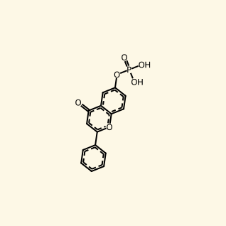 O=c1cc(-c2ccccc2)oc2ccc(OP(=O)(O)O)cc12